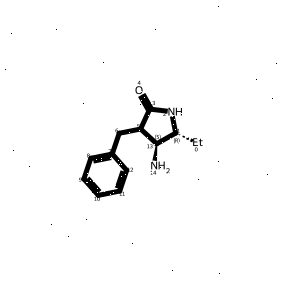 CC[C@H]1NC(=O)C(Cc2ccccc2)[C@@H]1N